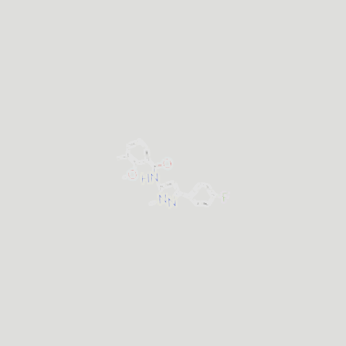 COc1c(C)cccc1C(=O)Nc1cc(-c2ccc(F)cc2)nn1C